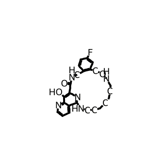 O=C1NCc2ccc(F)cc2CONCCCCCCCNc2nc1c(O)c1ncccc21